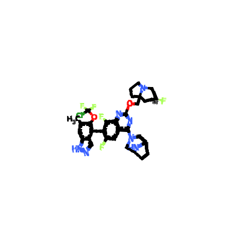 Cc1cc2[nH]ncc2c(-c2c(F)cc3c(N4CC5CCC(C4)N5)nc(OCC45CCCN4C[C@H](F)C5)nc3c2F)c1OC(F)(F)Cl